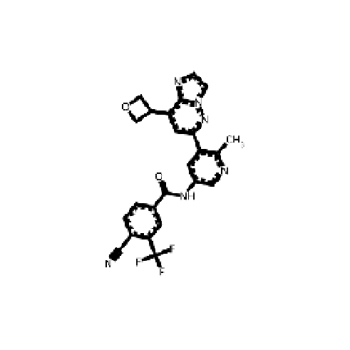 Cc1ncc(NC(=O)c2ccc(C#N)c(C(F)(F)F)c2)cc1-c1cc(C2COC2)c2nccn2n1